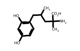 CC(Cc1ccc(O)cc1O)CC(C)(N)C(=O)O